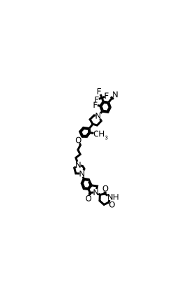 Cc1cc(OCCCCN2CCN(c3ccc4c(c3)CN(C3CCC(=O)NC3=O)C4=O)CC2)ccc1C1CCN(c2ccc(C#N)c(C(F)(F)F)c2F)CC1